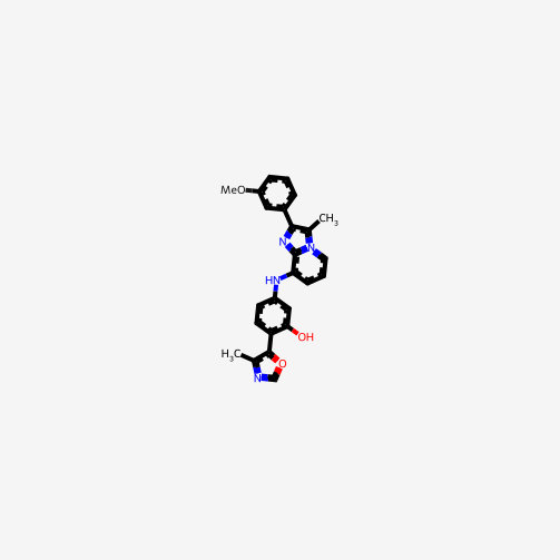 COc1cccc(-c2nc3c(Nc4ccc(-c5ocnc5C)c(O)c4)cccn3c2C)c1